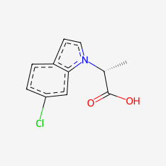 C[C@H](C(=O)O)n1ccc2ccc(Cl)cc21